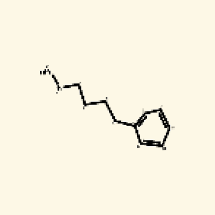 CCC[N]CCCCc1ccccc1